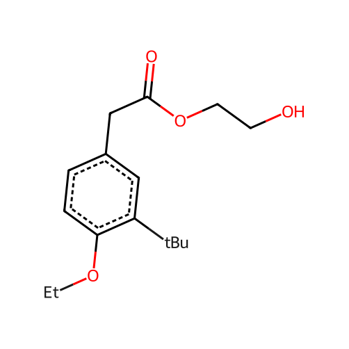 CCOc1ccc(CC(=O)OCCO)cc1C(C)(C)C